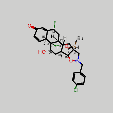 CCC(C)SC(=O)[C@@]12ON(Cc3ccc(Cl)cc3)C[C@@H]1C[C@H]1[C@@H]3C[C@H](F)C4=CC(=O)C=C[C@]4(C)[C@@]3(F)[C@@H](O)C[C@@]12C